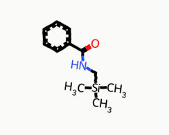 C[Si](C)(C)CNC(=O)c1ccccc1